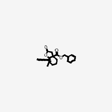 C=C1CC2(C)CCCC3(C(=O)OCc4ccccc4)CC(=O)O[C@@]23C1